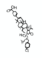 CC(C)C1=C2[C@H]3CC[C@@H]4[C@@]5(C)CC=C(C6=CCC(C(=O)O)CC6)C(C)(C)C5CC[C@@]4(C)[C@]3(C)CC[C@@]2([C@@H](O)CN(CCN(C)C)Cc2ccc(Cl)cc2)CC1=O